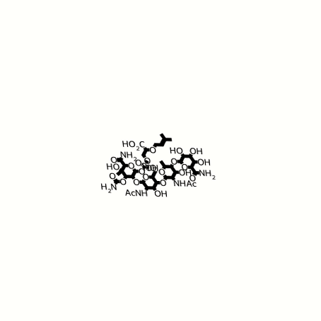 CC(=O)NC1C(OC2C(CO)OC(OC3C(OP(=O)(O)OCC(OCC=C(C)C)C(=O)O)OC(C(N)=O)C(C)(O)C3OC(N)=O)C(NC(C)=O)C2O)OC(C)C(OC2OC(C(N)=O)C(O)C(O)C2O)C1O